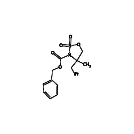 CC(C)CC1(C)COS(=O)(=O)N1C(=O)OCc1ccccc1